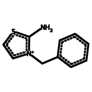 Nc1scc[n+]1Cc1ccccc1